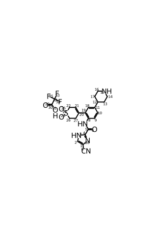 N#Cc1c[nH]c(C(=O)Nc2ccc(C3CCNCC3)cc2C2=CCS(=O)(=O)CC2)n1.O=C(O)C(F)(F)F